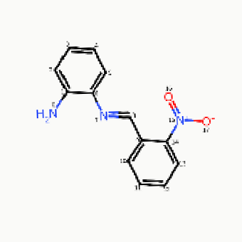 Nc1ccccc1/N=C/c1ccccc1[N+](=O)[O-]